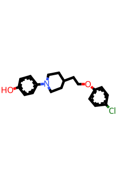 Oc1ccc(N2CCC(CCOc3ccc(Cl)cc3)CC2)cc1